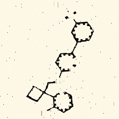 NS(=O)(=O)c1cccc(-c2ccc(NCC3(c4ncccc4F)CCC3)nn2)c1